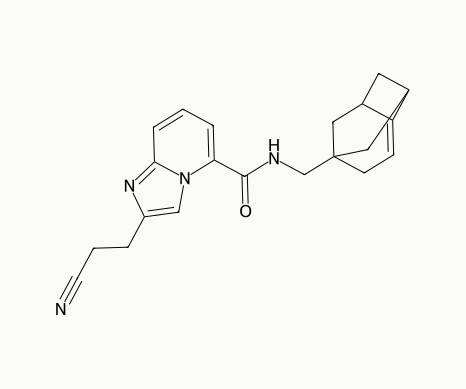 N#CCCc1cn2c(C(=O)NCC34CC=C5C(CC5C3)C4)cccc2n1